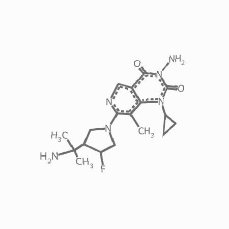 Cc1c(N2CC(F)C(C(C)(C)N)C2)ncc2c(=O)n(N)c(=O)n(C3CC3)c12